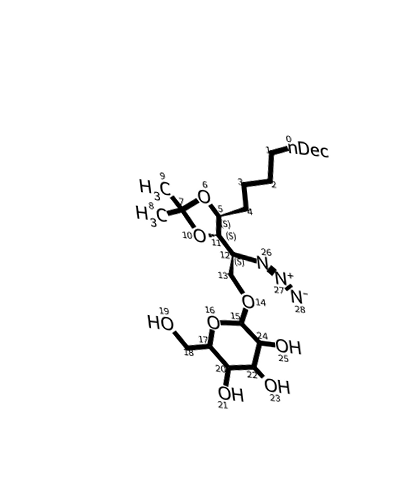 CCCCCCCCCCCCCC[C@@H]1OC(C)(C)O[C@H]1[C@H](COC1OC(CO)C(O)C(O)C1O)N=[N+]=[N-]